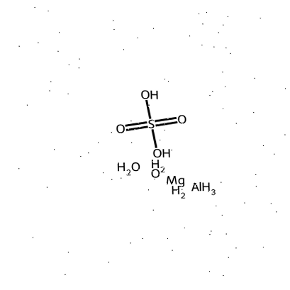 O.O.O=S(=O)(O)O.[AlH3].[MgH2]